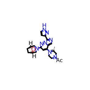 CC(=O)N1CCN(c2cc(N3C[C@H]4CC[C@@H](C3)O4)nn3c(-c4cc[nH]n4)ncc23)[C@H](C)C1